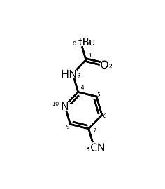 CC(C)(C)C(=O)Nc1ccc(C#N)cn1